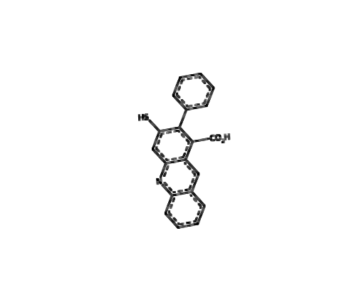 O=C(O)c1c(-c2ccccc2)c(S)cc2nc3ccccc3cc12